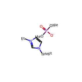 CCCCCCCn1cc[n+](CC)c1.COP(=O)([O-])OC